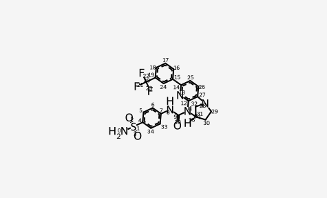 NS(=O)(=O)c1ccc(NC(=O)N2c3nc(-c4cccc(C(F)(F)F)c4)ccc3N3CC[C@H]2C3)cc1